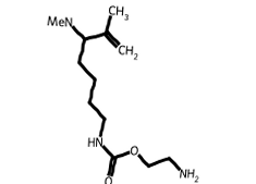 C=C(C)C(CCCCNC(=O)OCCN)NC